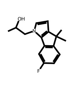 CC(O)Cn1ccc2c1-c1cc(F)ccc1C2(C)C